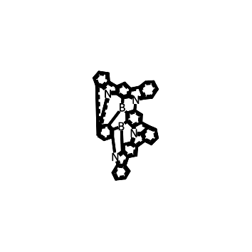 c1ccc2c(c1)c1cc3c4cccc5c6cc7c8c9c6n(c3c3c1n2-c1cc2c6cccc%10c%11cc%12c%13ccccc%13n-7c%12c7c%11n(c2c(c1B93)B87)c6%10)c54